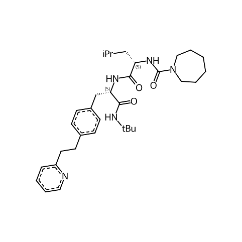 CC(C)C[C@H](NC(=O)N1CCCCCC1)C(=O)N[C@@H](Cc1ccc(CCc2ccccn2)cc1)C(=O)NC(C)(C)C